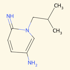 CC(C)Cn1cc(N)ccc1=N